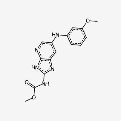 COC(=O)Nc1nc2cc(Nc3cccc(OC)c3)cnc2[nH]1